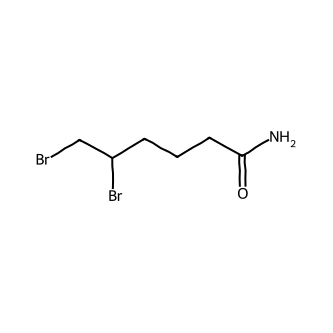 NC(=O)CCCC(Br)CBr